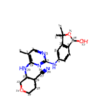 Cc1cnc(Nc2ccc3c(c2)C(C)(C)OB3O)nc1NC1COCCC1C#N